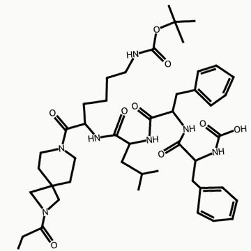 CCC(=O)N1CC2(CCN(C(=O)C(CCCCNC(=O)OC(C)(C)C)NC(=O)C(CC(C)C)NC(=O)C(Cc3ccccc3)NC(=O)C(Cc3ccccc3)NC(=O)O)CC2)C1